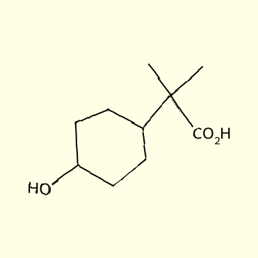 CC(C)(C(=O)O)C1CCC(O)CC1